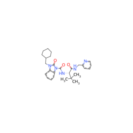 CC(C)(C)[C@H](NC(=O)n1c(=O)n(CC2CCCCC2)c2ccccc21)C(=O)NCc1ccccn1